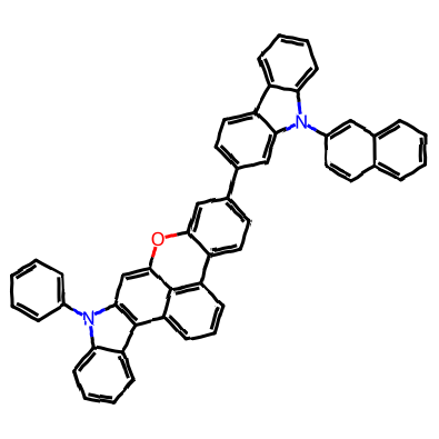 c1ccc(-n2c3ccccc3c3c4cccc5c4c(cc32)Oc2cc(-c3ccc4c6ccccc6n(-c6ccc7ccccc7c6)c4c3)ccc2-5)cc1